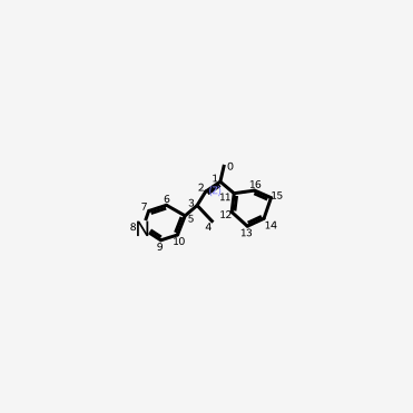 C/C(=C/C(C)c1ccncc1)c1ccccc1